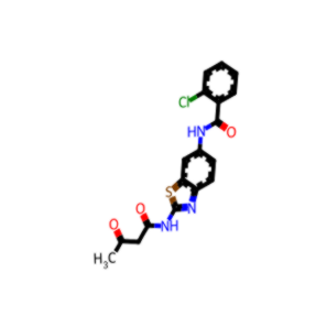 CC(=O)CC(=O)Nc1nc2ccc(NC(=O)c3ccccc3Cl)cc2s1